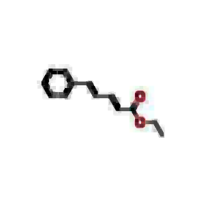 CCOC(=O)C=C/C=C/c1ccccc1